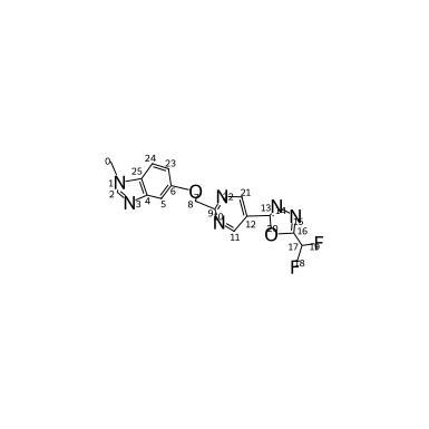 Cn1cnc2cc(OCc3ncc(-c4nnc(C(F)F)o4)cn3)ccc21